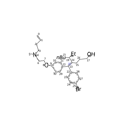 C=CCCN(C)CCOc1ccc(/C(=C(/CCCO)C(CC)CCCC)c2ccc(Br)cc2)cc1